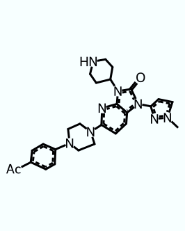 CC(=O)c1ccc(N2CCN(c3ccc4c(n3)n(C3CCNCC3)c(=O)n4-c3ccn(C)n3)CC2)cc1